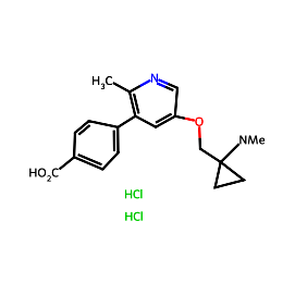 CNC1(COc2cnc(C)c(-c3ccc(C(=O)O)cc3)c2)CC1.Cl.Cl